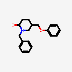 O=C1CCC(COc2ccccc2)CN1Cc1ccccc1